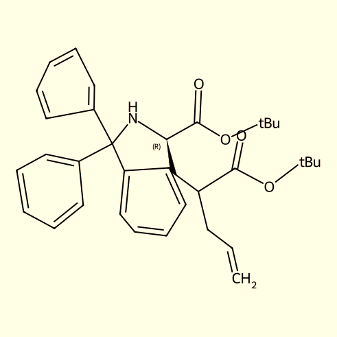 C=CCC(C[C@@H](NC(c1ccccc1)(c1ccccc1)c1ccccc1)C(=O)OC(C)(C)C)C(=O)OC(C)(C)C